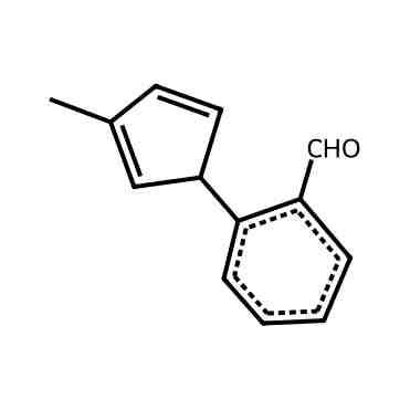 CC1=CC(c2ccccc2C=O)C=C1